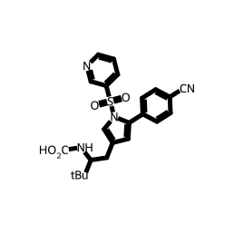 CC(C)(C)C(Cc1cc(-c2ccc(C#N)cc2)n(S(=O)(=O)c2cccnc2)c1)NC(=O)O